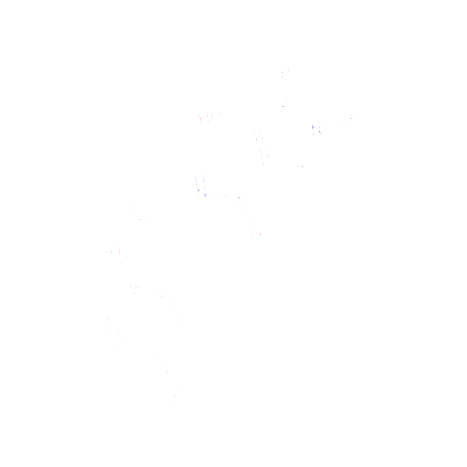 C=C1C(O)=C(C(=O)NCC(C)Oc2ccc(F)cc2)CN1C